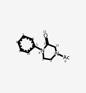 CC(=O)N1CCN(c2cc[c]cc2)C(=O)C1